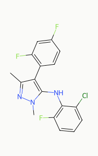 Cc1nn(C)c(Nc2c(F)cccc2Cl)c1-c1ccc(F)cc1F